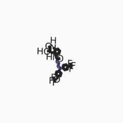 O=C(/C=C/C=C(/c1ccc(OC(F)(F)F)cc1)c1ccc(C(F)(F)F)cc1)Nc1cccc2c1CC(O)C(=O)N2